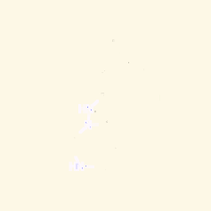 CC1CNCCCN1Nc1cc(Cl)cc(Cl)c1